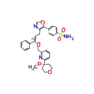 COC1(c2cccc(CO/C(=C\Cc3ncoc3-c3ccc(S(N)(=O)=O)cc3)c3ccccc3)n2)CCOCC1